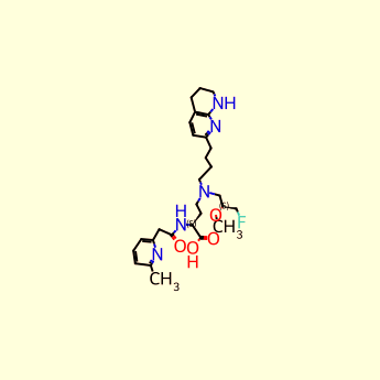 CO[C@H](CF)CN(CCCCc1ccc2c(n1)NCCC2)CC[C@H](NC(=O)Cc1cccc(C)n1)C(=O)O